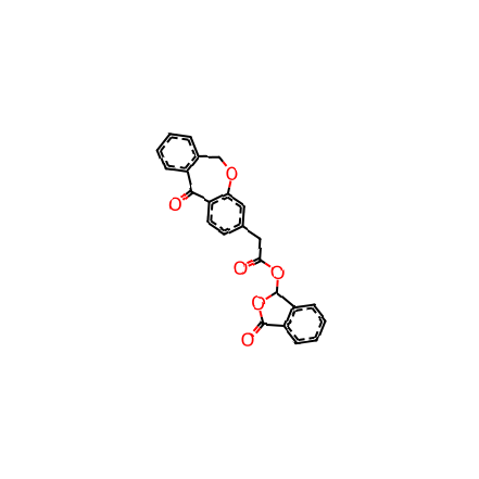 O=C(Cc1ccc2c(c1)OCc1ccccc1C2=O)OC1OC(=O)c2ccccc21